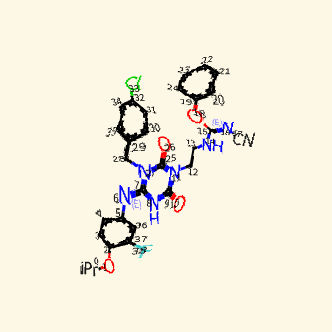 CC(C)Oc1ccc(/N=c2\[nH]c(=O)n(CCN/C(=N\C#N)Oc3ccccc3)c(=O)n2Cc2ccc(Cl)cc2)cc1F